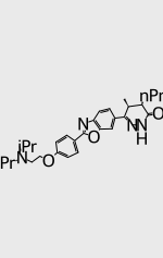 CCC[C@H]1C(=O)NN=C(c2ccc3nc(-c4ccc(OCCN(C(C)C)C(C)C)cc4)oc3c2)[C@H]1C